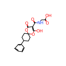 O=C(O)CNC(=O)C1=C(O)OC2(CCC(c3ccccc3)CC2)OC1=O